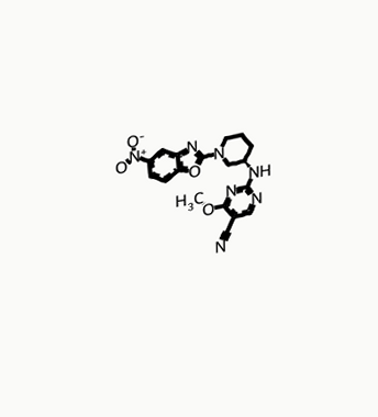 COc1nc(N[C@@H]2CCCN(c3nc4cc([N+](=O)[O-])ccc4o3)C2)ncc1C#N